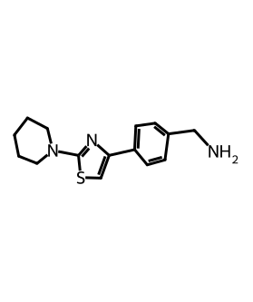 NCc1ccc(-c2csc(N3CCCCC3)n2)cc1